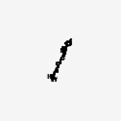 Cc1ccc(-c2cn(CCOCCOCCOCCNC(C)C)nn2)cc1